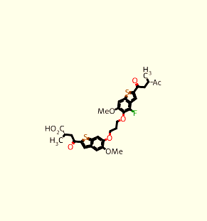 COc1cc2cc(C(=O)C[C@H](C)C(=O)O)sc2cc1OCCCOc1c(OC)cc2sc(C(=O)C[C@H](C)C(C)=O)cc2c1F